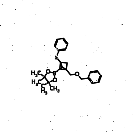 CC1(C)OB(C2C3(COCc4ccccc4)CC2(Sc2ccccc2)C3)OC1(C)C